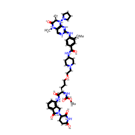 CC[C@@H]1C(=O)N(C)c2cnc(Nc3ccc(C(=O)NC4CCN(CCOCCC[C@@H](NC(=O)OC(C)(C)C)C(=O)Nc5cccc6c5CN(C5CCC(=O)NC5=O)C6=O)CC4)cc3OC)nc2N1N1CCCC1